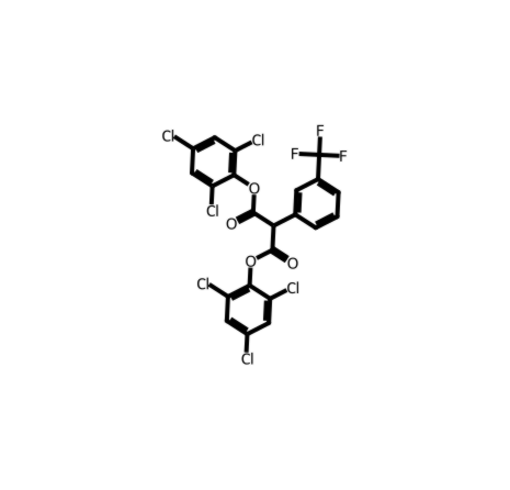 O=C(Oc1c(Cl)cc(Cl)cc1Cl)C(C(=O)Oc1c(Cl)cc(Cl)cc1Cl)c1cccc(C(F)(F)F)c1